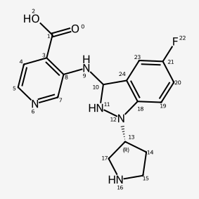 O=C(O)c1ccncc1NC1NN([C@@H]2CCNC2)c2ccc(F)cc21